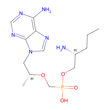 CCC[C@@H](N)COP(=O)(O)CO[C@H](C)Cn1cnc2c(N)ncnc21